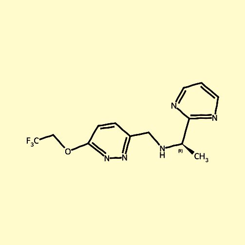 C[C@@H](NCc1ccc(OCC(F)(F)F)nn1)c1ncccn1